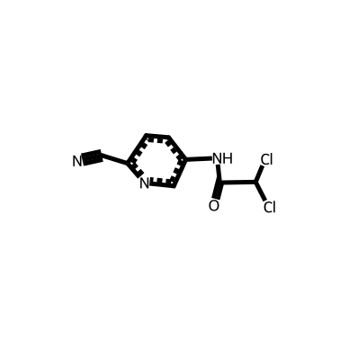 N#Cc1ccc(NC(=O)C(Cl)Cl)cn1